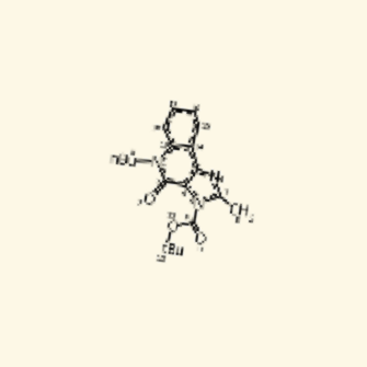 CCCCn1c(=O)c2c(nc(C)n2C(=O)OC(C)(C)C)c2ccccc21